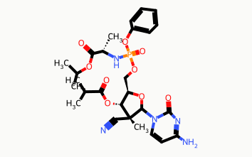 CC(C)OC(=O)[C@H](C)NP(=O)(OC[C@H]1OC(n2ccc(N)nc2=O)[C@](C)(C#N)[C@@H]1OC(=O)C(C)C)Oc1ccccc1